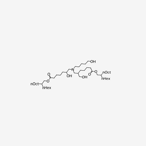 CCCCCCCCC(CCCCCC)COC(=O)CCCCC(O)CN(CCCCCO)CC(CO)CCCCC(=O)OCC(CCCCCC)CCCCCCCC